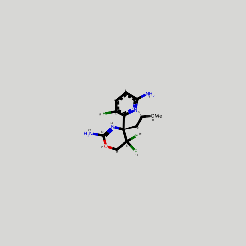 COCC[C@]1(c2nc(N)ccc2F)N=C(N)OCC1(F)F